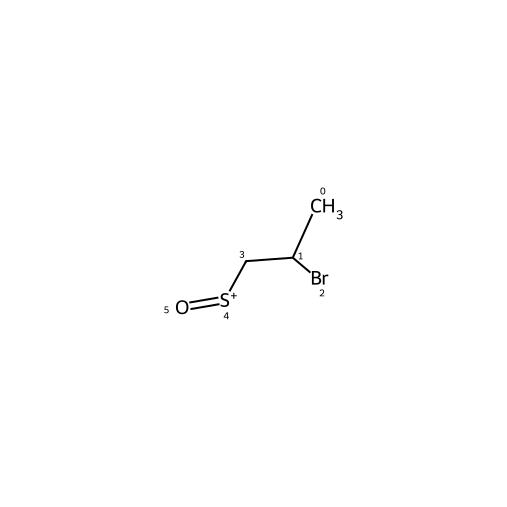 CC(Br)C[S+]=O